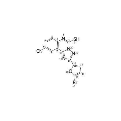 Sc1nc2ccc(Cl)cc2c2nc(-c3ccc(Br)o3)nn12